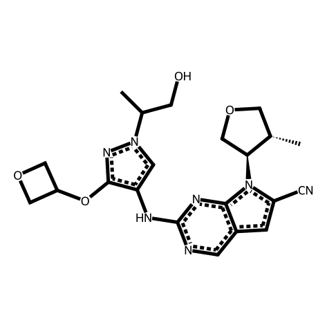 CC(CO)n1cc(Nc2ncc3cc(C#N)n([C@H]4COC[C@@H]4C)c3n2)c(OC2COC2)n1